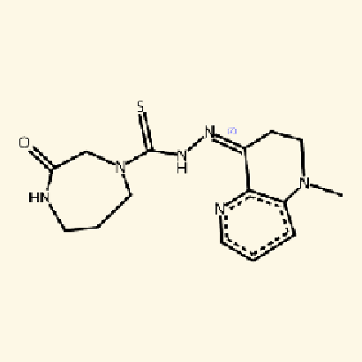 CN1CC/C(=N/NC(=S)N2CCCNC(=O)C2)c2ncccc21